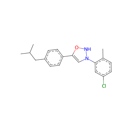 Cc1ccc(Cl)cc1N1C=C(c2ccc(CC(C)C)cc2)ON1